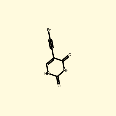 O=c1[nH]cc(C#CBr)c(=O)[nH]1